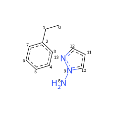 CCc1ccccc1.Nn1cccn1